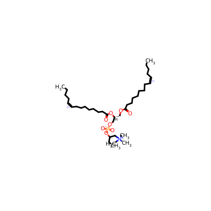 CCCC/C=C\CCCCCCCC(=O)OC[C@H](COP(=O)([O-])OC(CC)C[N+](C)(C)C)OC(=O)CCCCCCC/C=C\CCCC